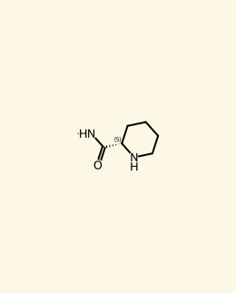 [NH]C(=O)[C@@H]1CCCCN1